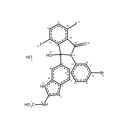 Cl.O=C(O)Nc1nc2ccc(C3(O)c4c(F)ccc(F)c4C(=O)N3c3cccc(Br)c3)cc2[nH]1